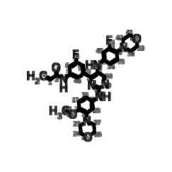 C=CC(=O)Nc1cc(F)cc(-c2nc(Nc3ccc(OC)c(N4CCOCC4)c3)ncc2Nc2ccc(N3CCOCC3)c(F)c2)c1